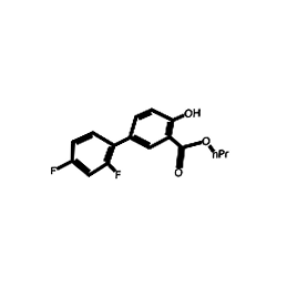 CCCOC(=O)c1cc(-c2ccc(F)cc2F)ccc1O